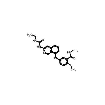 CCNC(=O)Nc1cc2cccc(Nc3ccc(OC)c(C(=O)NC)c3)c2cn1